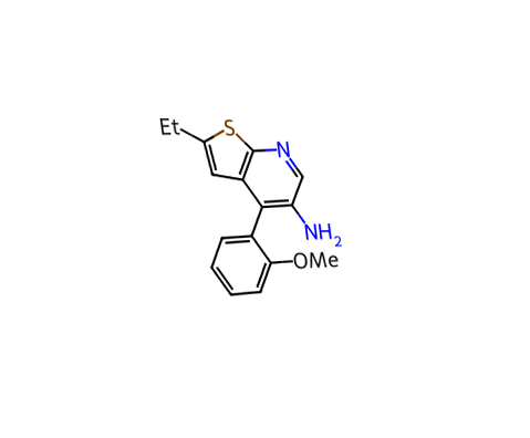 CCc1cc2c(-c3ccccc3OC)c(N)cnc2s1